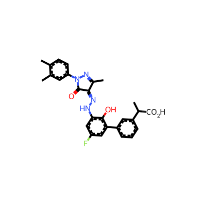 CC1=NN(c2ccc(C)c(C)c2)C(=O)C1=NNc1cc(F)cc(-c2cccc(C(C)C(=O)O)c2)c1O